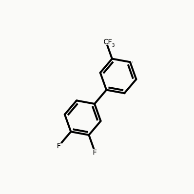 Fc1ccc(-c2cc[c]c(C(F)(F)F)c2)cc1F